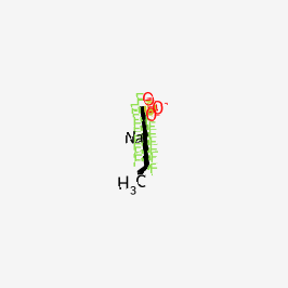 CCC(F)C(F)(F)C(F)(F)C(F)(F)C(F)(F)C(F)(F)C(F)(F)C(F)(F)S(=O)(=O)[O-].[Na+]